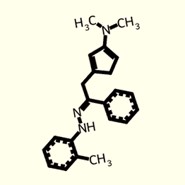 Cc1ccccc1NN=C(CC1=CC(N(C)C)=CC1)c1ccccc1